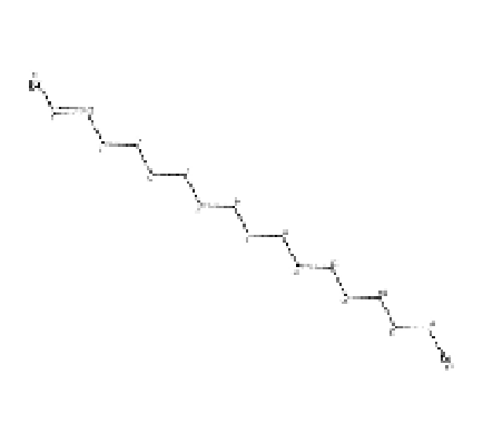 BrC=CCCCCCCCCCCCCCCBr